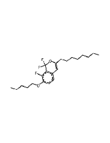 CCCCCCCCC1=Cc2ccc(OCCCCC)c(F)c2C(F)(F)O1